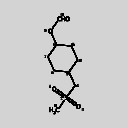 CS(=O)(=O)CC1CCC(OC=O)CC1